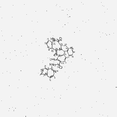 O=C(Nc1nccn2cncc12)c1ccc(CN2C(=O)c3sccc3NC(=O)C2Cc2ccccn2)cc1Cl